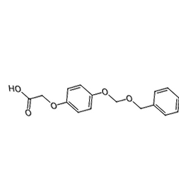 O=C(O)COc1ccc(OCOCc2ccccc2)cc1